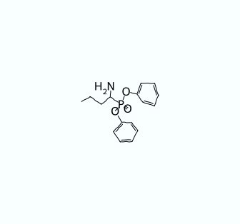 CCCC(N)P(=O)(Oc1ccccc1)Oc1ccccc1